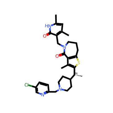 Cc1cc(C)c(CN2CCCc3sc([C@H](C)C4CCN(Cc5ccc(Cl)cn5)CC4)c(C)c3C2=O)c(=O)[nH]1